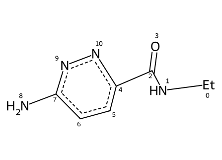 CCNC(=O)c1ccc(N)nn1